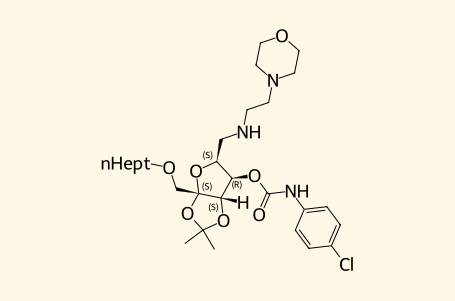 CCCCCCCOC[C@@]12O[C@@H](CNCCN3CCOCC3)[C@@H](OC(=O)Nc3ccc(Cl)cc3)[C@@H]1OC(C)(C)O2